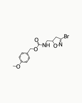 COc1ccc(COC(=O)NCC2CC(Br)=NO2)cc1